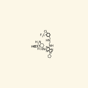 Cl.Cl.Cl.N[C@H]1CC[C@H](Nc2nc(NCCNCc3ccc(Cl)c(C(F)(F)F)c3)c3ncn(C4CCCC4)c3n2)CC1